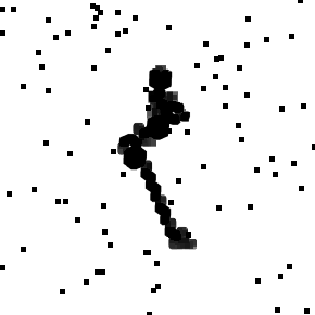 COC(=O)COCCCOCCCCCOc1ccc2c(c1)[C@H](NC(=O)c1cccc(NC3(c4nnc(-c5ccncc5)[nH]4)CCN(C)CC3)c1)CCO2